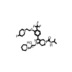 CC(C)NC(=O)N1CCc2c(c(-c3ccc(C(F)(F)F)c(SCCN4CCC(F)CC4)c3)nn2C[C@@H](O)CN2CCCCC2)C1